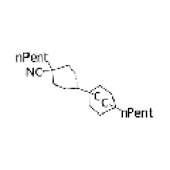 CCCCCC12CCC([C@H]3CC[C@@](C#N)(CCCCC)CC3)(CC1)CC2